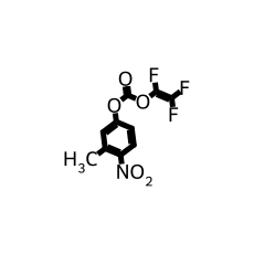 Cc1cc(OC(=O)OC(F)=C(F)F)ccc1[N+](=O)[O-]